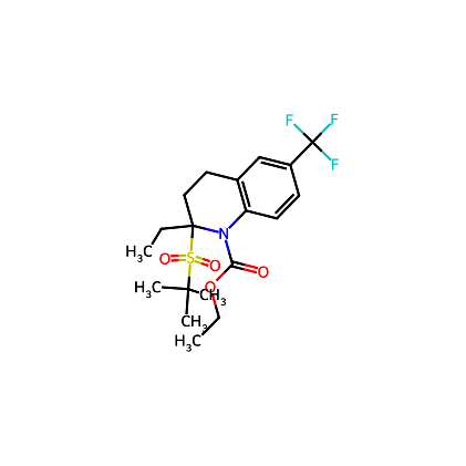 CCOC(=O)N1c2ccc(C(F)(F)F)cc2CCC1(CC)S(=O)(=O)C(C)(C)C